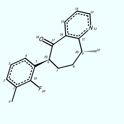 Cc1cccc([C@@H]2CC[C@@H](C)c3ncccc3C2=O)c1F